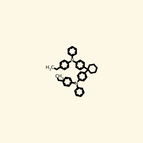 CCc1ccc(N(c2ccccc2)c2ccc(C3(c4ccc(N(c5ccccc5)c5ccc(CC)cc5)cc4)CCCCC3)cc2)cc1